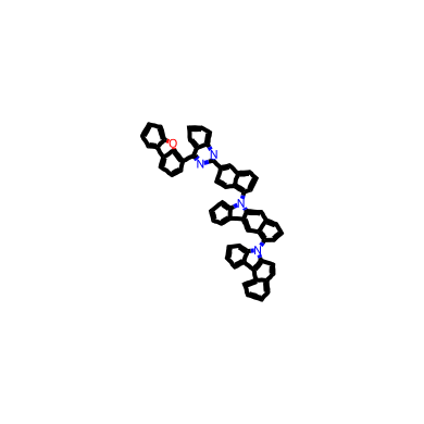 c1cc(-n2c3ccccc3c3cc4c(-n5c6ccccc6c6c7ccccc7ccc65)cccc4cc32)c2ccc(-c3nc(-c4cccc5c4oc4ccccc45)c4ccccc4n3)cc2c1